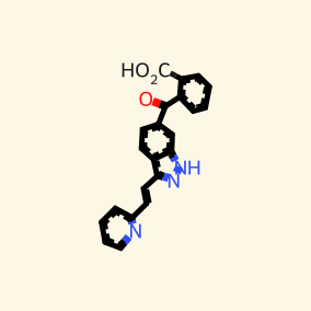 O=C(O)c1ccccc1C(=O)c1ccc2c(C=Cc3ccccn3)n[nH]c2c1